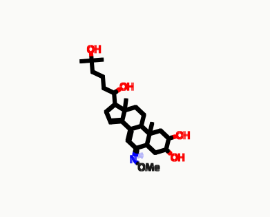 CO/N=C1/C=C2C3=CCC(C(O)CCCC(C)(C)O)C3(C)CCC2C2(C)CC(O)C(O)CC12